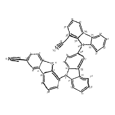 N#Cc1ccc2sc3c(-n4c5ccccc5c5cc(-n6c7ccccc7c7cccc(C#N)c76)ccc54)cccc3c2c1